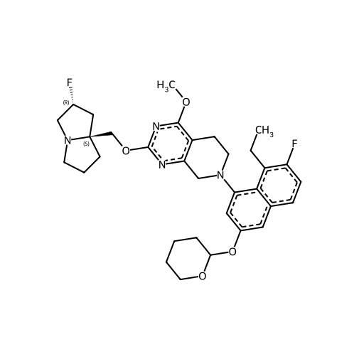 CCc1c(F)ccc2cc(OC3CCCCO3)cc(N3CCc4c(nc(OC[C@@]56CCCN5C[C@H](F)C6)nc4OC)C3)c12